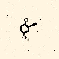 [C]#Cc1cc(C(F)(F)F)ccc1Cl